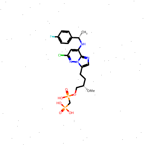 CO[C@@H](CCc1cnc2c(N[C@@H](C)c3ccc(F)cc3)cc(Cl)nn12)COP(=O)(O)CP(=O)(O)O